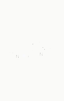 CCn1ccc(/C=C/N=O)n1